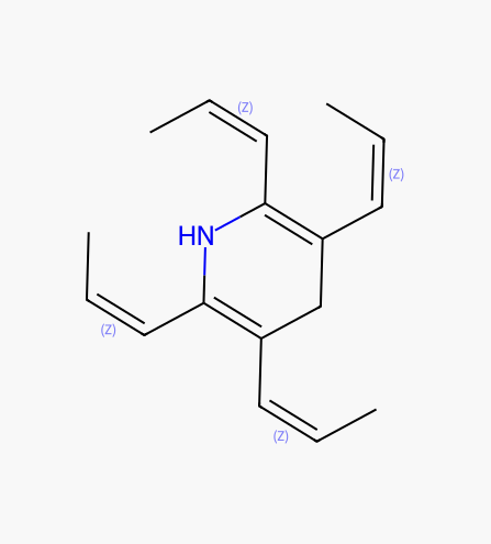 C/C=C\C1=C(/C=C\C)NC(/C=C\C)=C(/C=C\C)C1